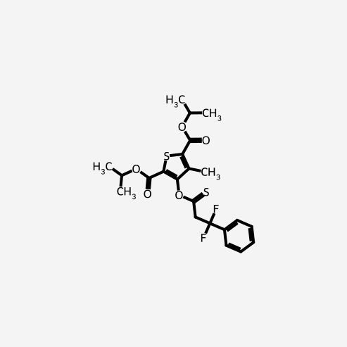 Cc1c(C(=O)OC(C)C)sc(C(=O)OC(C)C)c1OC(=S)CC(F)(F)c1ccccc1